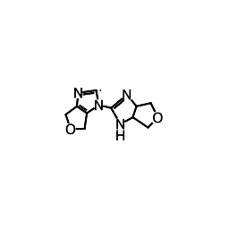 [c]1nc2c(n1C1=NC3COCC3N1)COC2